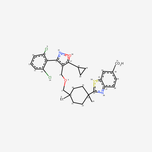 CCC1(COCc2c(-c3c(Cl)cccc3Cl)noc2C2CC2)CCC(C)(c2nc3ccc(C(=O)O)cc3s2)CC1